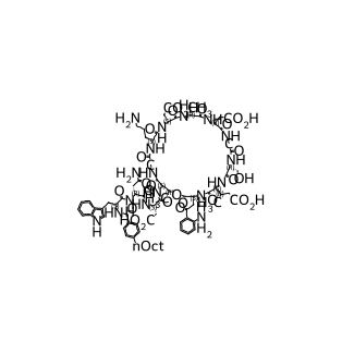 CCCCCCCCc1ccc(C(=O)N[C@@H](Cc2c[nH]c3ccccc23)C(=O)N[C@H](CC(N)=O)C(=O)N[C@@H](CC(=O)O)C(=O)N[C@@H]2C(=O)NCC(=O)N[C@@H](CCCN)C(=O)N[C@@H](CC(=O)O)C(=O)N[C@H](C)C(=O)N[C@@H](CC(=O)O)C(=O)NCC(=O)N[C@H](CO)C(=O)N[C@@H]([C@H](C)CC(=O)O)C(=O)N[C@@H](CC(=O)c3ccccc3N)C(=O)O[C@@H]2C)cc1